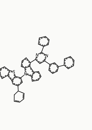 C1=CCC(c2cc(-n3c4ccccc4c4c(-c5cc(-c6cccc(-c7ccccc7)c6)nc(-c6ccccc6)n5)cccc43)c3sc4ccccc4c3c2)C=C1